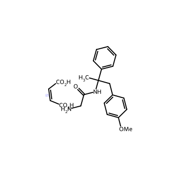 COc1ccc(CC(C)(NC(=O)CN)c2ccccc2)cc1.O=C(O)/C=C\C(=O)O